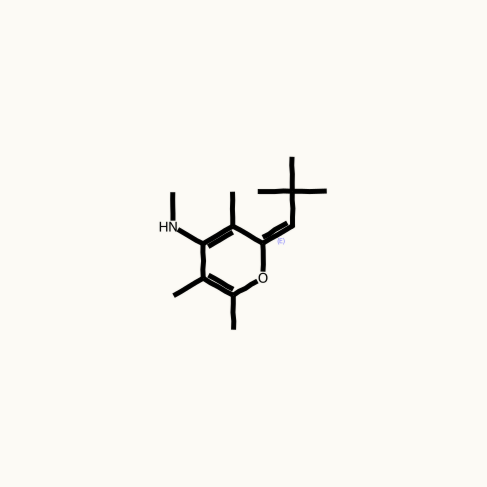 CNC1=C(C)/C(=C\C(C)(C)C)OC(C)=C1C